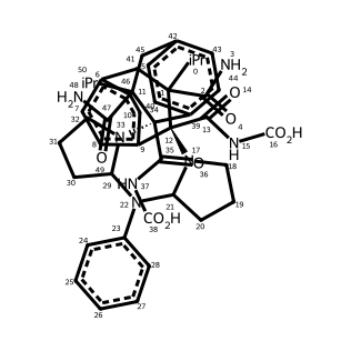 CC(C)C1(C(N)=O)Cc2ccc(cc2)[C@]1(C(=O)NC(=O)O)N1CCCC1N(c1ccccc1)C1CCCN1[C@@]1(C(=O)NC(=O)O)c2ccc(cc2)CC1(C(N)=O)C(C)C